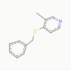 Cc1cnccc1SCc1ccccc1